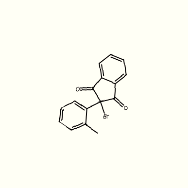 Cc1ccccc1C1(Br)C(=O)c2ccccc2C1=O